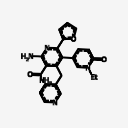 CCn1cc(-c2c(-c3ccco3)nc(N)c(C(N)=O)c2Cc2cccnc2)ccc1=O